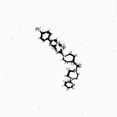 CC(C)c1ccc(-c2cn3nc(N4CCC(C(=O)N5CCN(c6ccccn6)CC5)CC4)sc3n2)cc1